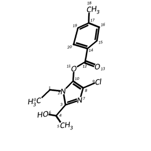 CCn1c(C(C)O)nc(Cl)c1OC(=O)c1ccc(C)cc1